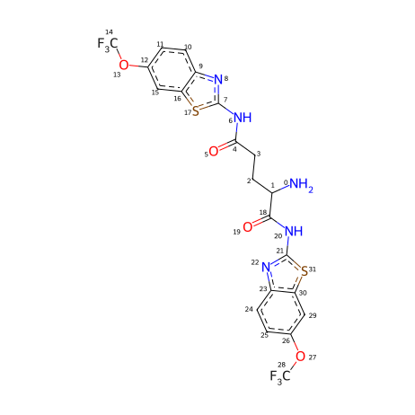 NC(CCC(=O)Nc1nc2ccc(OC(F)(F)F)cc2s1)C(=O)Nc1nc2ccc(OC(F)(F)F)cc2s1